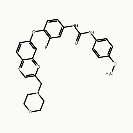 COc1ccc(NC(=O)Nc2ccc(Oc3ccc4ncc(CN5CCOCC5)nc4c3)c(F)c2)cc1